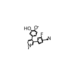 COc1ccc(C2=CCN(C)C=C2c2ccc(C#N)c(F)c2)cc1O